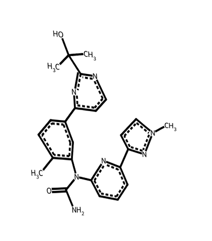 Cc1ccc(-c2ccnc(C(C)(C)O)n2)cc1N(C(N)=O)c1cccc(-c2ccn(C)n2)n1